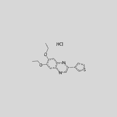 CCOc1cc2ncc(-c3ccsc3)nc2cc1OCC.Cl